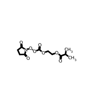 CC(C)C(=O)OCCOC(=O)OON1C(=O)CCC1=O